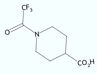 O=C(O)C1CCN(C(=O)C(F)(F)F)CC1